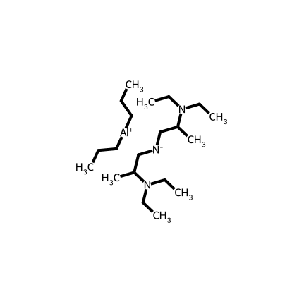 CCN(CC)C(C)C[N-]CC(C)N(CC)CC.CC[CH2][Al+][CH2]CC